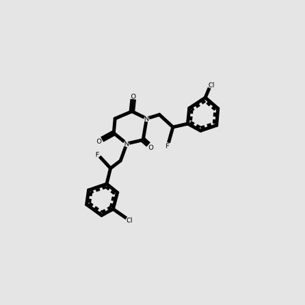 O=C1CC(=O)N(CC(F)c2cccc(Cl)c2)C(=O)N1CC(F)c1cccc(Cl)c1